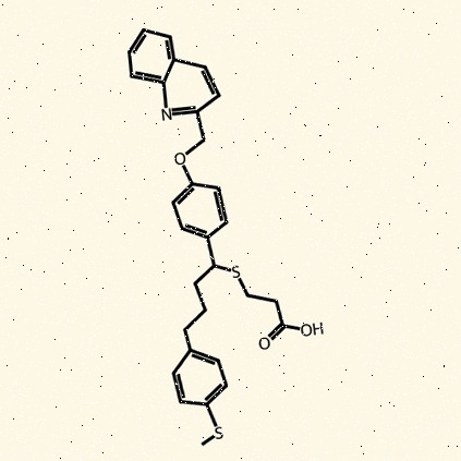 CSc1ccc(CCCC(SCCC(=O)O)c2ccc(OCc3ccc4ccccc4n3)cc2)cc1